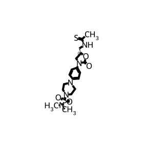 CC(=S)NC[C@H]1CN(c2ccc(N3CCN(S(=O)(=O)N(C)C)CC3)cc2)C(=O)O1